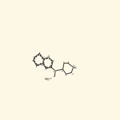 CN(c1cnc2ccccc2c1)C1CCNCC1.Cl